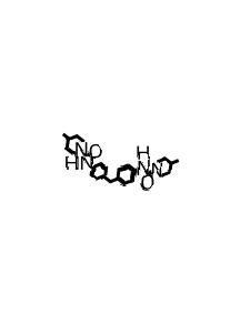 CC1CCN(C(=O)Nc2ccc(Cc3ccc(NC(=O)N4CCC(C)CC4)cc3)cc2)CC1